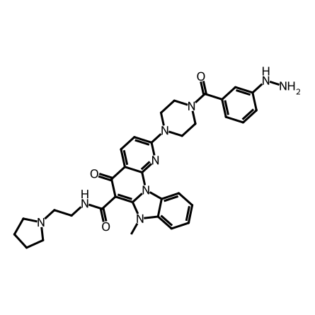 Cn1c2ccccc2n2c3nc(N4CCN(C(=O)c5cccc(NN)c5)CC4)ccc3c(=O)c(C(=O)NCCN3CCCC3)c12